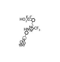 CC(C)(C)OC(=O)N1CCC(c2ccc(Nc3ncc(C(F)(F)F)c(CCc4cccc(C(F)(F)F)c4CC(=O)O)n3)cc2)CC1